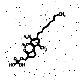 CCCCCCCCc1cc(C)c(N2CCC(COP(=O)(O)O)C2=O)c(C)c1N